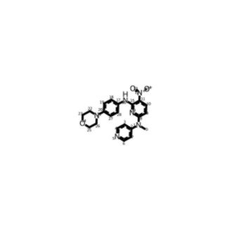 CN(c1ccncc1)c1ccc([N+](=O)[O-])c(Nc2ccc(N3CCOCC3)cc2)n1